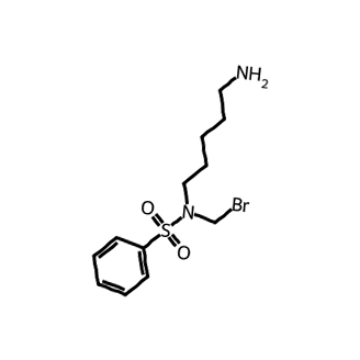 NCCCCCN(CBr)S(=O)(=O)c1ccccc1